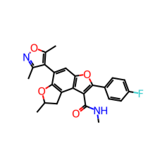 CNC(=O)c1c(-c2ccc(F)cc2)oc2cc(-c3c(C)noc3C)c3c(c12)CC(C)O3